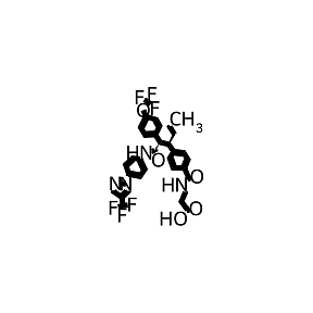 CCC[C@@H](c1ccc(C(=O)NCCC(=O)O)cc1)[C@H](C(=O)Nc1ccc(-n2cc(C(F)(F)F)cn2)cc1)c1ccc(OC(F)(F)F)cc1